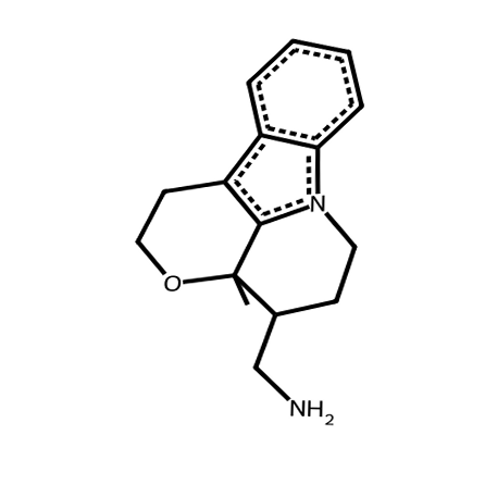 CC12OCCc3c1n(c1ccccc31)CCC2CN